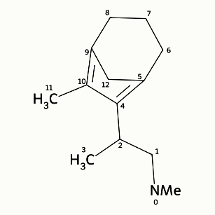 CNCC(C)C1=C2CCCC(=C1C)C2